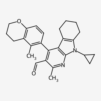 Cc1nc2c(c3c(n2C2CC2)CCCC3)c(-c2ccc3c(c2C)CCCO3)c1C=O